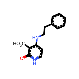 O=C(O)c1c(NCCc2ccccc2)cc[nH]c1=O